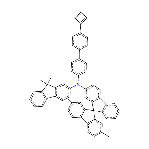 Cc1ccc2c(c1)C1(c3ccccc3-c3ccc(N(c4ccc(-c5ccc(C6=CC=C6)cc5)cc4)c4ccc5c(c4)C(C)(C)c4ccccc4-5)cc31)c1cc(C)ccc1-2